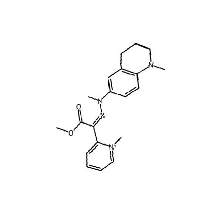 COC(=O)/C(=N\N(C)c1ccc2c(c1)CCCN2C)c1cccc[n+]1C